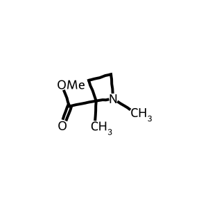 COC(=O)C1(C)CCN1C